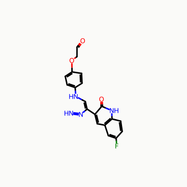 N=N/C(=C\Nc1ccc(OCC=O)cc1)c1cc2cc(F)ccc2[nH]c1=O